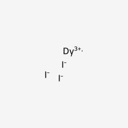 [Dy+3].[I-].[I-].[I-]